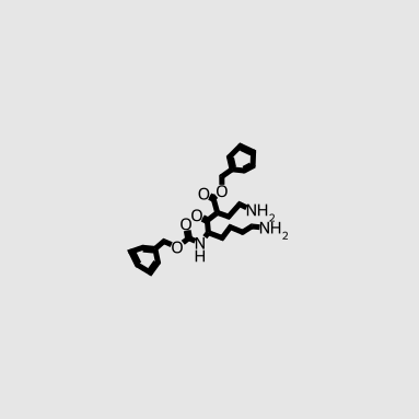 NCCCCC(NC(=O)OCc1ccccc1)C(=O)C(CCN)C(=O)OCc1ccccc1